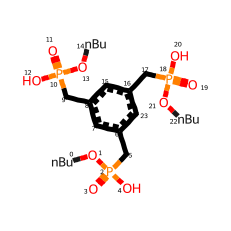 CCCCOP(=O)(O)Cc1cc(CP(=O)(O)OCCCC)cc(CP(=O)(O)OCCCC)c1